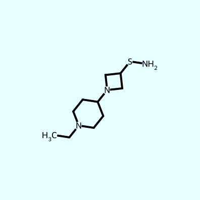 CCN1CCC(N2CC(SN)C2)CC1